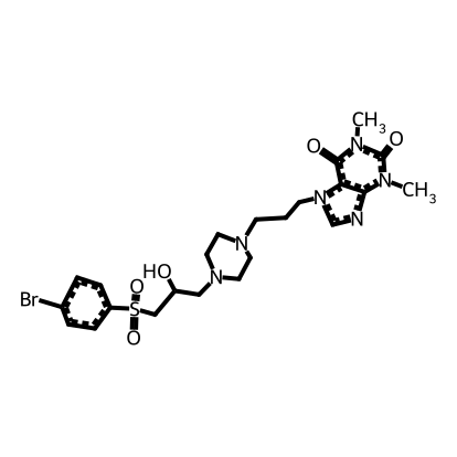 Cn1c(=O)c2c(ncn2CCCN2CCN(CC(O)CS(=O)(=O)c3ccc(Br)cc3)CC2)n(C)c1=O